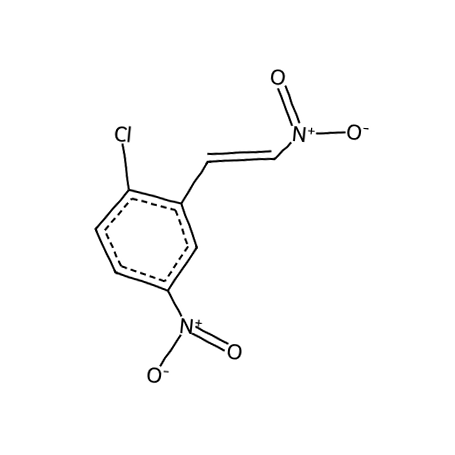 O=[N+]([O-])C=Cc1cc([N+](=O)[O-])ccc1Cl